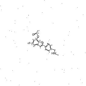 CNCc1ccc(-c2cc3cc(F)cc(OC(C)=O)c3o2)nc1